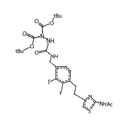 CC(=O)Nc1nc(CCc2ccc(CNC(=O)NN(C(=O)OC(C)(C)C)C(=O)OC(C)(C)C)c(F)c2F)cs1